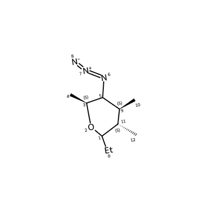 CCC1O[C@@H](C)C(N=[N+]=[N-])[C@@H](C)[C@@H]1C